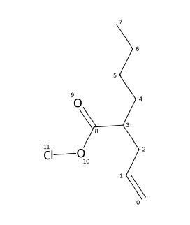 C=CCC(CCCC)C(=O)OCl